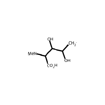 [CH2]C(O)C(O)C(NC)C(=O)O